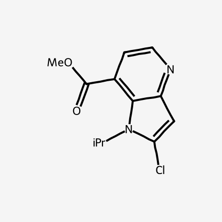 COC(=O)c1ccnc2cc(Cl)n(C(C)C)c12